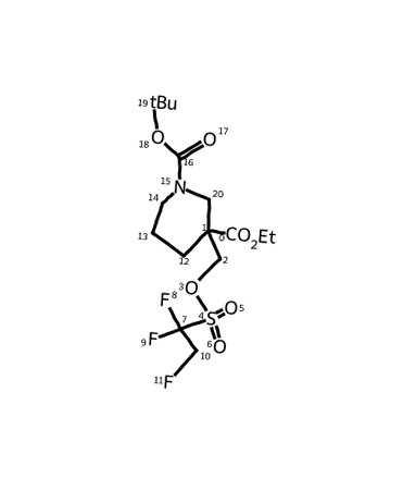 CCOC(=O)C1(COS(=O)(=O)C(F)(F)CF)CCCN(C(=O)OC(C)(C)C)C1